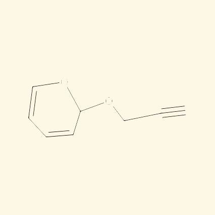 C#CCOC1C=CC=CO1